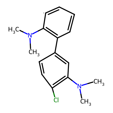 CN(C)c1[c]cccc1-c1ccc(Cl)c(N(C)C)c1